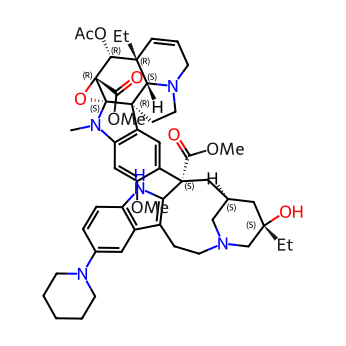 CC[C@]1(O)C[C@H]2CN(CCc3c([nH]c4ccc(N5CCCCC5)cc34)[C@@](C(=O)OC)(c3cc4c(cc3OC)N(C)[C@@]35O[C@]3(C(=O)OC)[C@H](OC(C)=O)[C@]3(CC)C=CCN6CC[C@]45[C@@H]63)C2)C1